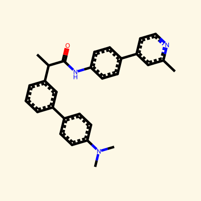 Cc1cc(-c2ccc(NC(=O)C(C)c3cccc(-c4ccc(N(C)C)cc4)c3)cc2)ccn1